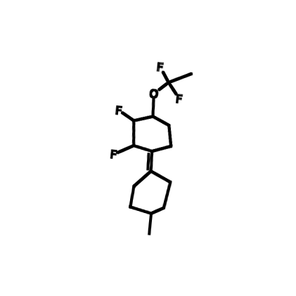 CC1CCC(=C2CCC(OC(C)(F)F)C(F)C2F)CC1